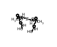 CN1c2ccccc2N(CC(=O)NCCSSCCNC(=O)C[n+]2c(/C=C/c3ccc(NCCO)cc3)n(C)c3ccccc32)C1/C=C/c1ccc(NCCO)cc1